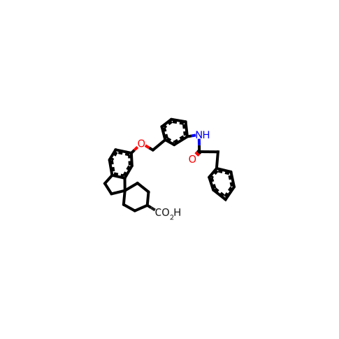 O=C(Cc1ccccc1)Nc1cccc(COc2ccc3c(c2)C2(CC3)CCC(C(=O)O)CC2)c1